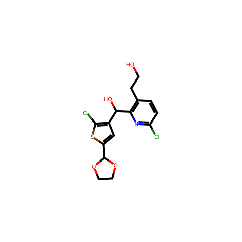 OCCc1ccc(Cl)nc1C(O)c1cc(C2OCCO2)sc1Cl